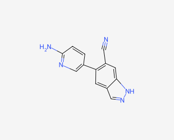 N#Cc1cc2[nH]ncc2cc1-c1ccc(N)nc1